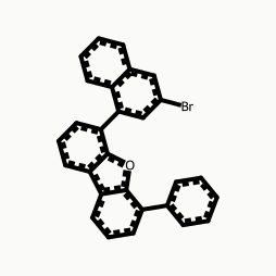 Brc1cc(-c2cccc3c2oc2c(-c4ccccc4)cccc23)c2ccccc2c1